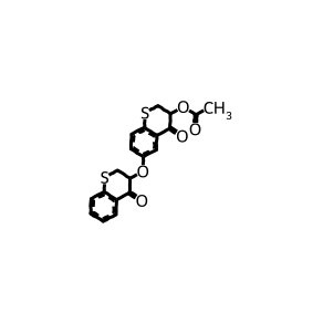 CC(=O)OC1CSc2ccc(OC3CSc4ccccc4C3=O)cc2C1=O